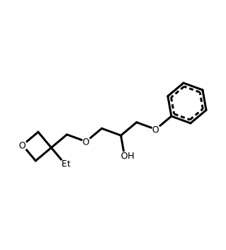 CCC1(COCC(O)COc2ccccc2)COC1